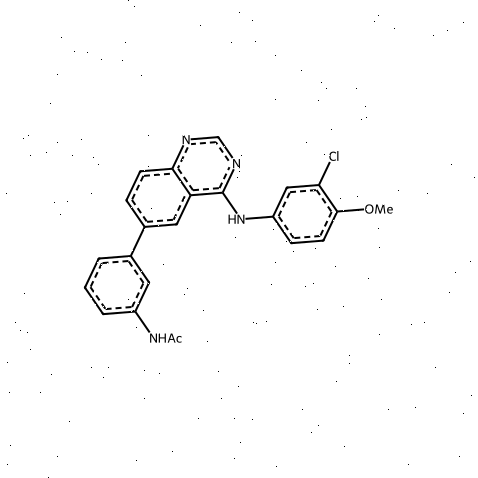 COc1ccc(Nc2ncnc3ccc(-c4cccc(NC(C)=O)c4)cc23)cc1Cl